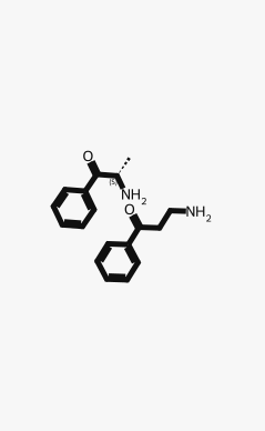 C[C@H](N)C(=O)c1ccccc1.NCCC(=O)c1ccccc1